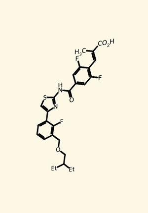 CCC(CC)COCc1cccc(-c2csc(NC(=O)c3cc(F)c(C=C(C)C(=O)O)c(F)c3)n2)c1F